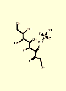 O=C(CO)C(=O)C(O)C(O)C(O)C(O)CO.O=S(=O)(O)O